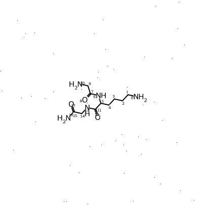 NCCCCC(NC(=O)CN)C(=O)NCC(N)=O